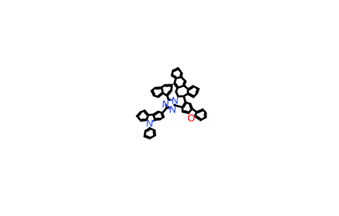 c1ccc(-n2c3ccccc3c3cc(-c4nc(-c5cc6oc7ccccc7c6cc5C5CCc6cc7ccccc7cc6-c6ccccc65)nc(-c5cccc6ccccc56)n4)ccc32)cc1